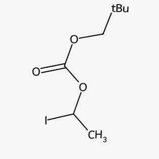 CC(I)OC(=O)OCC(C)(C)C